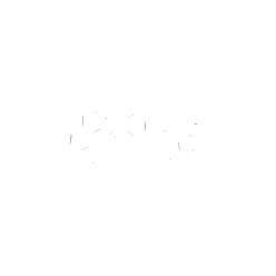 CCN(CC)c1c(N[C@@H](Cc2ccc(Nc3nc(C)cc4ccc(OC)cc34)cc2)C(=O)O)c(=O)c1=O